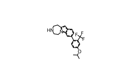 CC(C)Oc1ccc(-c2ccc3cc4n(c3c2)CCNCC4)c(C(F)(F)F)c1